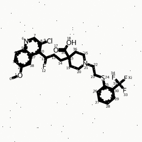 COc1ccc2ncc(Cl)c(C(F)CCC3(C(=O)O)CCN(CCSc4ccccc4C(F)(F)F)CC3)c2c1